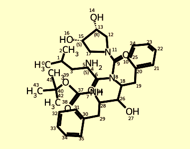 CC(C)C[C@H](N)C(=O)N(C(=O)N1C[C@@H](O)[C@@H](O)C1)C(Cc1ccccc1)C(O)C(Cc1ccccc1)NC(=O)OC(C)(C)C